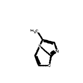 Cc1cnc2occn12